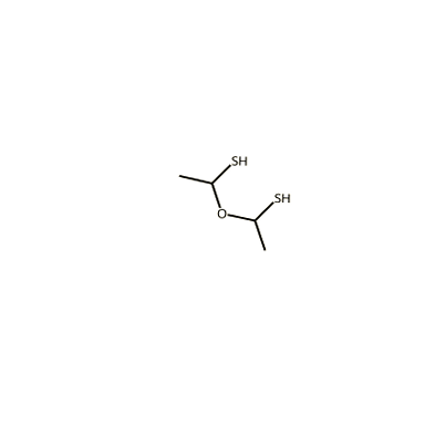 CC(S)OC(C)S